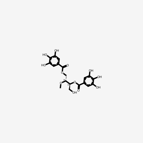 CO[C@H](COC(=O)c1cc(O)c(O)c(O)c1)[C@H](CO)OC(=O)c1cc(O)c(O)c(O)c1